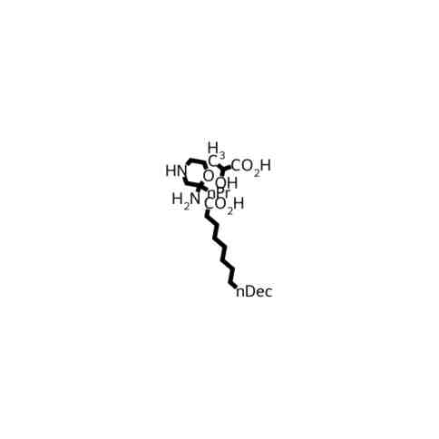 CC(O)C(=O)O.CCCC1(N)CNCCO1.CCCCCCCCCCCCCCCCCC(=O)O